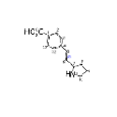 O=C(O)c1ccc(/C=C/C2CCCN2)cc1